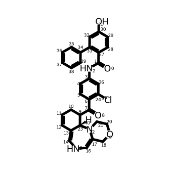 O=C(Nc1ccc(C(=O)C2CC=CC3=CNC=C4COCCN4[C@H]32)c(Cl)c1)c1ccc(O)cc1-c1ccccc1